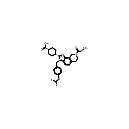 COC(=O)N1CCc2ccc3c(nc([C@H]4CC[C@H](C(=O)O)CC4)n3Cc3ccc(OC(F)F)cc3)c2C1